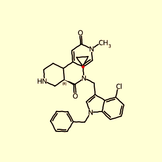 Cn1ccc(C2CCNC[C@@H]2C(=O)N(Cc2cn(Cc3ccccc3)c3cccc(Cl)c23)C2CC2)cc1=O